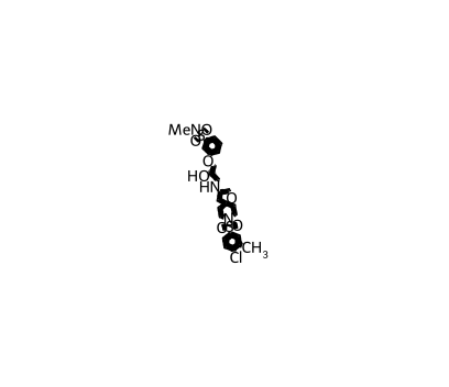 CNS(=O)(=O)c1cccc(OC[C@@H](O)CNC2COC3(CCN(S(=O)(=O)c4ccc(Cl)c(C)c4)CC3)C2)c1